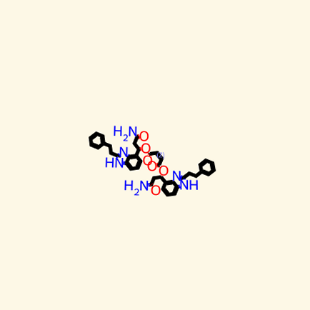 NC(=O)CC(OC(=O)/C=C\C(=O)OC(CC(N)=O)c1cccc2[nH]c(CCc3ccccc3)nc12)c1cccc2[nH]c(CCc3ccccc3)nc12